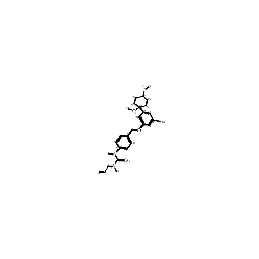 C=CCN(C)C(=O)N(C)c1ccc(COc2cc(F)cc(C3(OC)CCC(OC)CC3)c2)cc1